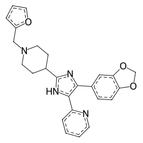 c1ccc(-c2[nH]c(C3CCN(Cc4ccco4)CC3)nc2-c2ccc3c(c2)OCO3)nc1